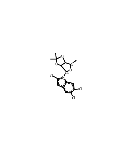 C[C@H]1O[C@@H](n2c(Cl)cc3cc(Cl)c(Cl)cc32)C2OC(C)(C)OC21